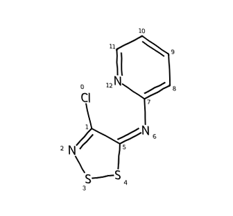 Clc1nssc1=Nc1ccccn1